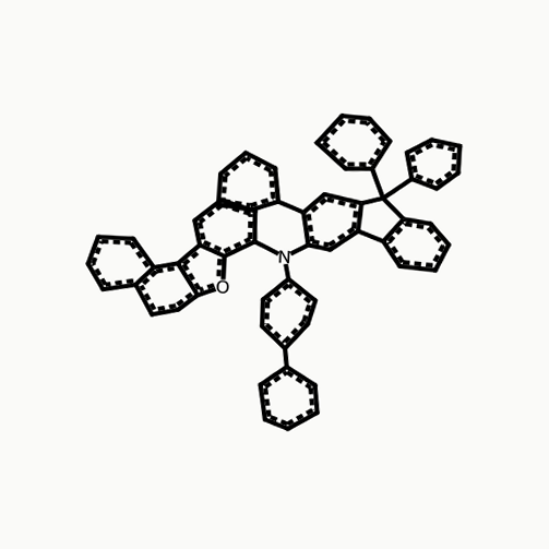 c1ccc(-c2ccc(N(c3cc4c(cc3-c3ccccc3)C(c3ccccc3)(c3ccccc3)c3ccccc3-4)c3cccc4c3oc3ccc5ccccc5c34)cc2)cc1